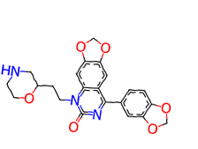 O=c1nc(-c2ccc3c(c2)OCO3)c2cc3c(cc2n1CCC1CNCCO1)OCO3